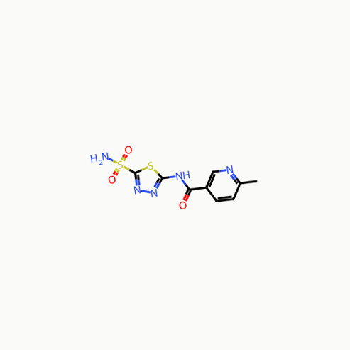 Cc1ccc(C(=O)Nc2nnc(S(N)(=O)=O)s2)cn1